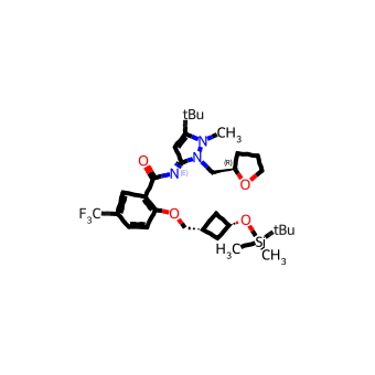 Cn1c(C(C)(C)C)c/c(=N\C(=O)c2cc(C(F)(F)F)ccc2OC[C@H]2C[C@@H](O[Si](C)(C)C(C)(C)C)C2)n1C[C@H]1CCCO1